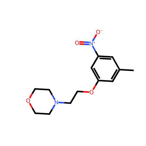 Cc1cc(OCCN2CCOCC2)cc([N+](=O)[O-])c1